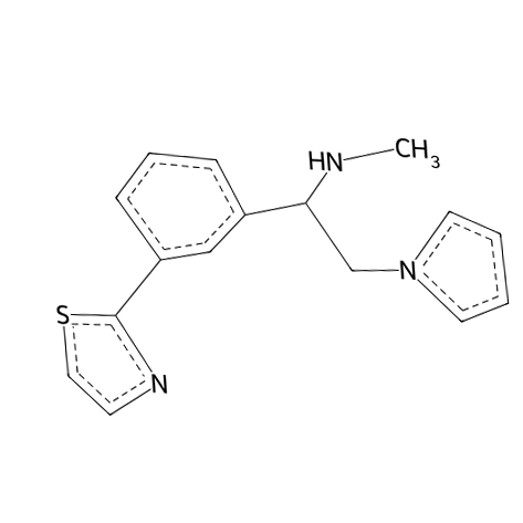 CNC(Cn1cccc1)c1cccc(-c2nccs2)c1